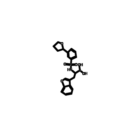 O=S(=O)(NC(Cc1coc2ccccc12)B(O)O)c1cccc(C2CCCO2)c1